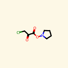 O=C(CCl)C(=O)ON1CCCC1